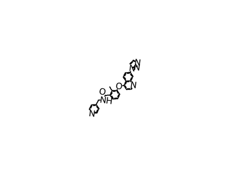 Cc1c(Oc2ccnc3cc(-n4ccnn4)ccc23)cccc1C(=O)NCc1ccncc1